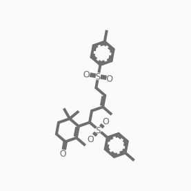 CC(=CCS(=O)(=O)c1ccc(C)cc1)CC(C1=C(C)C(=O)CCC1(C)C)S(=O)(=O)c1ccc(C)cc1